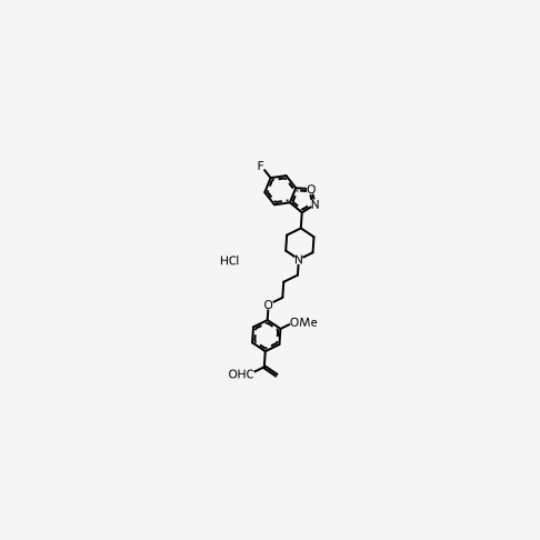 C=C(C=O)c1ccc(OCCCN2CCC(c3noc4cc(F)ccc34)CC2)c(OC)c1.Cl